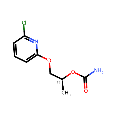 C[C@@H](COc1cccc(Cl)n1)OC(N)=O